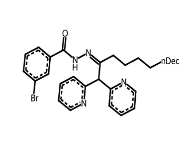 CCCCCCCCCCCCCCC(=NNC(=O)c1cccc(Br)c1)C(c1ccccn1)c1ccccn1